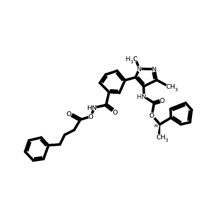 Cc1nn(C)c(-c2cccc(C(=O)NOC(=O)CCCc3ccccc3)c2)c1NC(=O)O[C@H](C)c1ccccc1